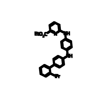 CCOC(=O)c1cccc(Nc2ccc(Nc3ccc(-c4ccccc4C(C)C)cc3)cc2)n1